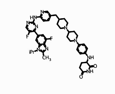 Cc1nc2c(F)cc(-c3nc(Nc4ccc(CC5CCN(C6CCN(c7ccc(NC8CCC(=O)NC8=O)cc7)CC6)CC5)cn4)ncc3F)cc2n1C(C)C